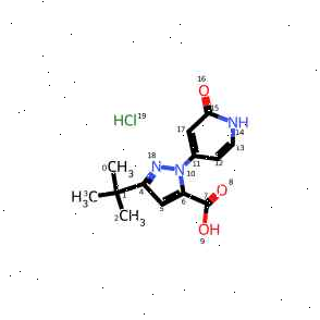 CC(C)(C)c1cc(C(=O)O)n(-c2cc[nH]c(=O)c2)n1.Cl